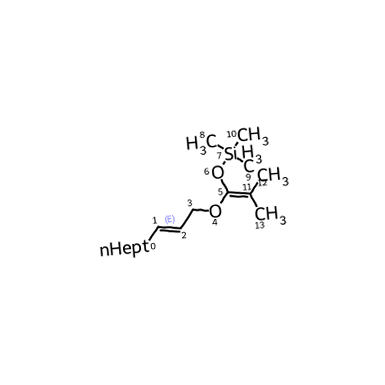 CCCCCCC/C=C/COC(O[Si](C)(C)C)=C(C)C